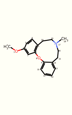 COc1ccc2c(c1)Oc1ccccc1CCN(C)CC2